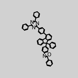 C1=CC(c2nc(-c3ccccc3)nc(-c3ccc(-c4cccc5c4-c4ccccc4C5(c4ccccc4)c4ccc5nc(-c6ccccc6)oc5c4)cc3)n2)=CCC1